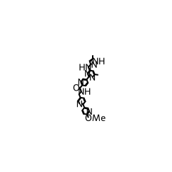 COc1ccc(-c2ccc(CNC(=O)c3ccc(-c4nc(C)cc(Nc5cc(C)[nH]n5)n4)cn3)cn2)cn1